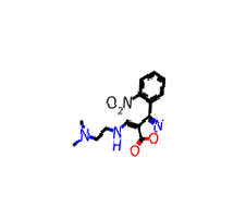 CN(C)CCNC=C1C(=O)ON=C1c1ccccc1[N+](=O)[O-]